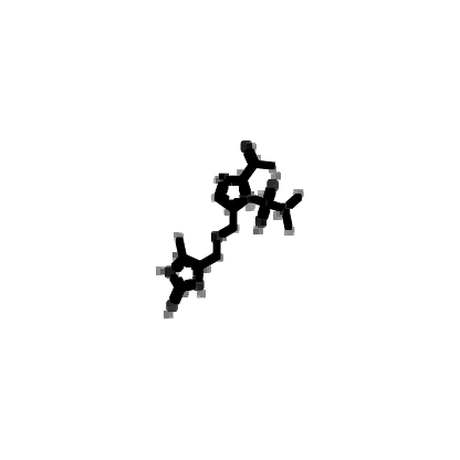 CC(=O)c1ncc(COCc2oc(=O)oc2C)n1S(=O)(=O)N(C)C